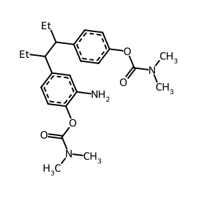 CCC(c1ccc(OC(=O)N(C)C)cc1)C(CC)c1ccc(OC(=O)N(C)C)c(N)c1